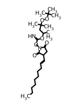 CCCCCCCCC=CC1CC(=O)N(OC(=N)OC(C)CC(C)(C)OOC(C)(C)C)C1=O